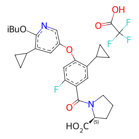 CC(C)COc1ncc(Oc2cc(F)c(C(=O)N3CCC[C@H]3C(=O)O)cc2C2CC2)cc1C1CC1.O=C(O)C(F)(F)F